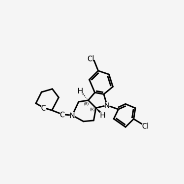 Clc1ccc(N2c3ccc(Cl)cc3[C@@H]3CN(CC4CCCCC4)CC[C@H]32)cc1